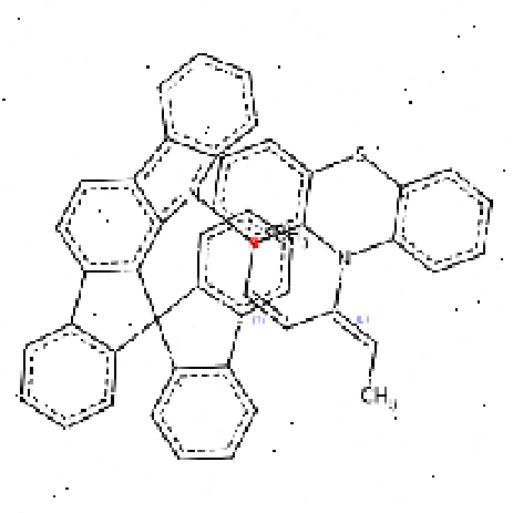 C/C=C(\C=C/C(C)n1c2ccccc2c2ccc3c(c21)C1(c2ccccc2-c2ccccc21)c1ccccc1-3)N1c2ccccc2Sc2ccccc21